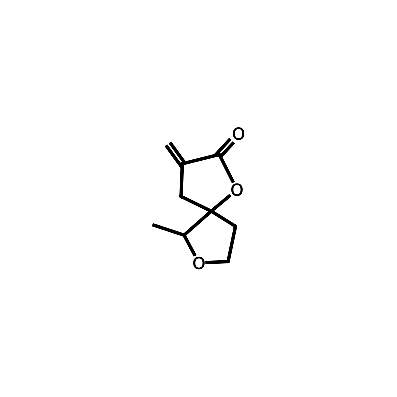 C=C1CC2(CCOC2C)OC1=O